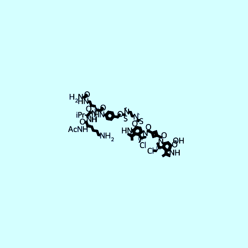 CC(=O)N[C@@H](CCCCN)C(=O)N[C@H](C(=O)N[C@@H](CCCNC(N)=O)C(=O)Nc1ccc(COC(=S)N(C)CCN(C)C(=S)Oc2cc3c(c4c(C)c[nH]c24)[C@H](CCl)CN3C(=O)C23CC(C(=O)N4C[C@@H](CCl)c5c4cc(OO)c4[nH]cc(C)c54)(C2)C3)cc1)C(C)C